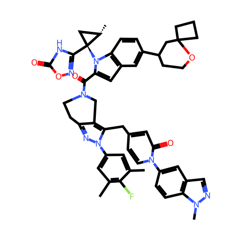 Cc1cc(-n2nc3c(c2Cc2ccn(-c4ccc5c(cnn5C)c4)c(=O)c2)CN(C(=O)c2cc4cc(C5CCOC6(CCC6)C5)ccc4n2[C@@]2(c4noc(=O)[nH]4)C[C@@H]2C)CC3)cc(C)c1F